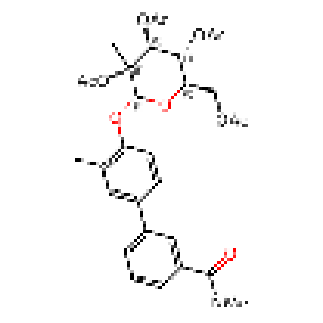 CNC(=O)c1cccc(-c2ccc(O[C@H]3O[C@H](COC(C)=O)[C@@H](OC(C)=O)[C@H](OC(C)=O)[C@]3(C)OC(C)=O)c(C)c2)c1